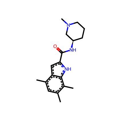 Cc1cc(C)c2cc(C(=O)N[C@@H]3CCCN(C)C3)[nH]c2c1C